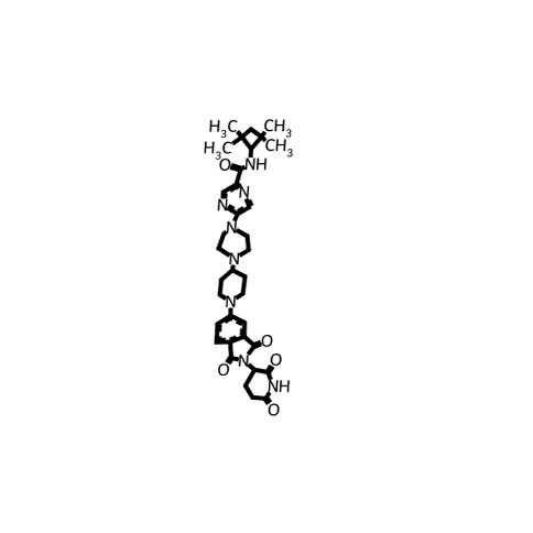 CC1(C)CC(C)(C)C1NC(=O)c1cnc(N2CCN(C3CCN(c4ccc5c(c4)C(=O)N(C4CCC(=O)NC4=O)C5=O)CC3)CC2)cn1